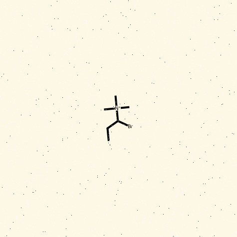 CCC(Br)[N+](C)(C)C